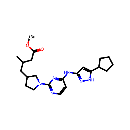 CC(CC(=O)OC(C)(C)C)CC1CCN(c2nccc(Nc3cc(C4CCCC4)[nH]n3)n2)C1